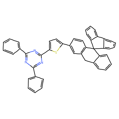 c1ccc(-c2nc(-c3ccccc3)nc(-c3ccc(-c4ccc5c(c4)Cc4ccccc4C54c5ccccc5-c5ccccc54)s3)n2)cc1